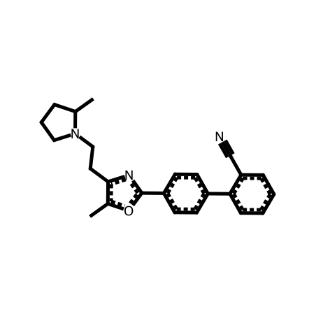 Cc1oc(-c2ccc(-c3ccccc3C#N)cc2)nc1CCN1CCCC1C